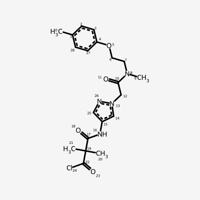 Cc1ccc(OCCN(C)C(=O)Cn2cc(NC(=O)C(C)(C)C(=O)Cl)cn2)cc1